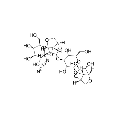 [N-]=[N+]=N[C@]1(O[C@@H]2[C@H]3OC[C@@H]2O[C@@H](O[C@@H]2[C@@H](O)[C@H](O[C@@H]4[C@H]5OC[C@@H]4O[C@@H](O)[C@H]5O)O[C@H](CO)[C@H]2O)[C@H]3O)O[C@H](CO)[C@H](O)[C@H](O)[C@H]1O